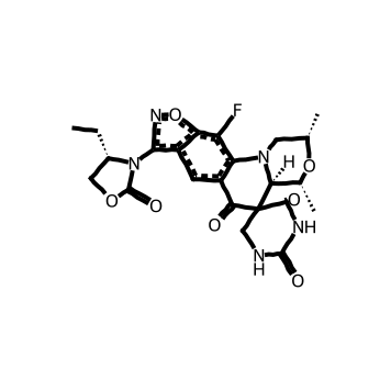 CC[C@H]1COC(=O)N1c1noc2c(F)c3c(cc12)C(=O)C1(CNC(=O)NC1=O)[C@@H]1[C@@H](C)O[C@@H](C)CN31